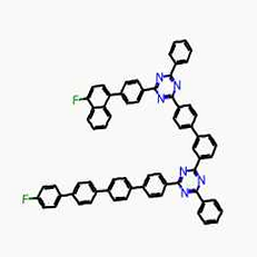 Fc1ccc(-c2ccc(-c3ccc(-c4ccc(-c5nc(-c6ccccc6)nc(-c6cccc(-c7ccc(-c8nc(-c9ccccc9)nc(-c9ccc(-c%10ccc(F)c%11ccccc%10%11)cc9)n8)cc7)c6)n5)cc4)cc3)cc2)cc1